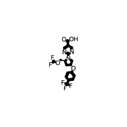 O=C(O)c1cnc(N2C[C@@H](Oc3ccc(C(F)(F)F)cc3)C[C@H]2COC(F)F)nc1